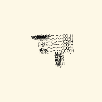 CCCCCCCCCCCCCCCCCC(=O)O.CCCCCCCCCCCCCCCCCC(=O)O.CCCCCCCCCCCCCCCCCC(=O)O.CCCCCCCCCCCCCCCCCC(=O)O.CCCCCCCCCCCCCCCCCC(=O)O.CCCCCCCCCCCCCCCCCC(=O)O.[Mg+2].[Mg+2].[Mg+2].[Mg+2].[Mg+2].[Mg+2].[Mg+2].[Mg+2].[Mg+2].[Mg+2].[Mg+2].[Mg+2].[Mg+2].[Mg+2].[Mg+2].[Mg+2]